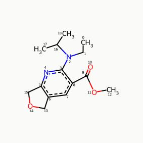 CCN(c1nc2c(cc1C(=O)OC)COC2)C(C)C